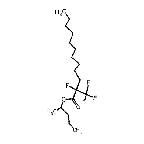 CCCCCCCCCCC(F)(C(=O)OC(C)CCC)C(F)(F)F